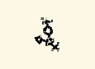 CS(=O)(=O)c1ccc(-n2nc(C(F)(F)F)nc2-c2ccco2)nc1